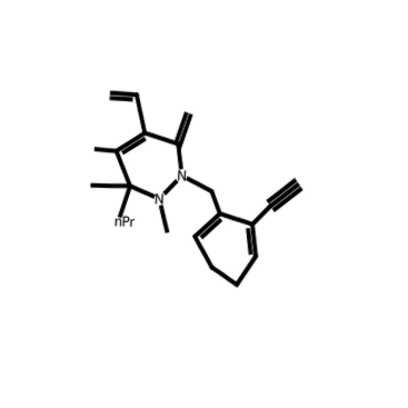 C#CC1=CCCC=C1CN1C(=C)C(C=C)=C(C)C(C)(CCC)N1C